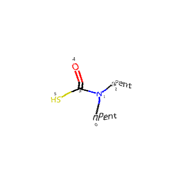 CCCCCN(CCCCC)C(=O)S